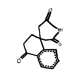 O=C1CC2(CCC(=O)c3ccccc32)C(=O)N1